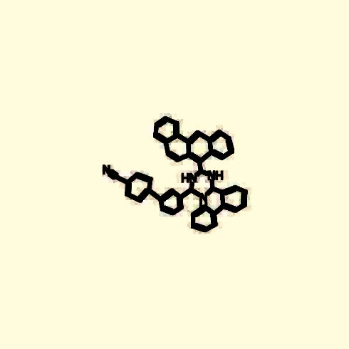 N#Cc1ccc(-c2cccc(C3NC(c4ccccc4-c4ccccc4)NC(c4c5ccccc5cc5c4ccc4ccccc45)N3)c2)cc1